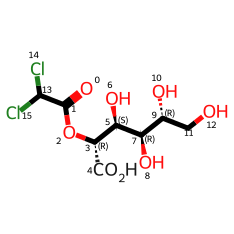 O=C(O[C@@H](C(=O)O)[C@@H](O)[C@H](O)[C@H](O)CO)C(Cl)Cl